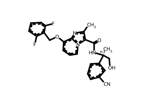 Cc1nc2c(OCc3c(F)cccc3F)cccn2c1C(=O)N[C@@](C)(CO)c1cccc(C#N)c1